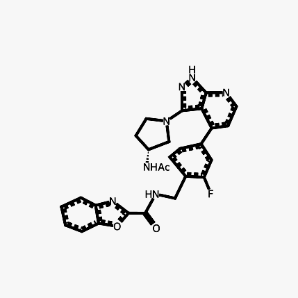 CC(=O)N[C@@H]1CCN(c2n[nH]c3nccc(-c4ccc(CNC(=O)c5nc6ccccc6o5)c(F)c4)c23)C1